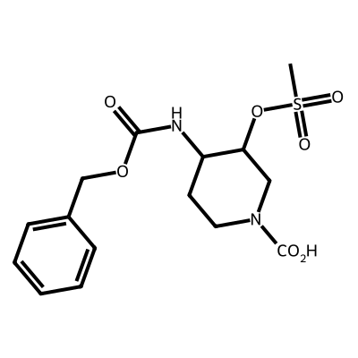 CS(=O)(=O)OC1CN(C(=O)O)CCC1NC(=O)OCc1ccccc1